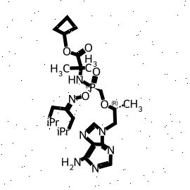 CC(C)CC(CC(C)C)=NO[P@](=O)(CO[C@H](C)Cn1cnc2c(N)ncnc21)NC(C)(C)C(=O)OC1CCC1